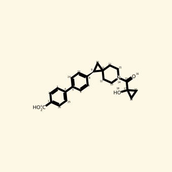 O=C(O)c1ccc(-c2ccc([C@H]3CC34CCN(C(=O)C3(O)CC3)CC4)cc2)cc1